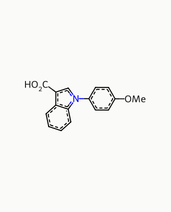 COc1ccc(-n2cc(C(=O)O)c3ccccc32)cc1